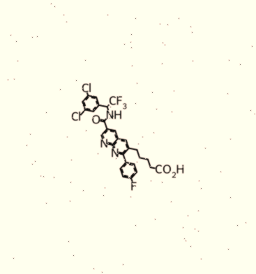 O=C(O)CCCCc1cc2cc(C(=O)N[C@@H](c3cc(Cl)cc(Cl)c3)C(F)(F)F)cnc2nc1-c1ccc(F)cc1